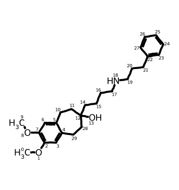 COc1cc2c(cc1OC)CCC(O)(CCCCNCCCc1ccccc1)CC2